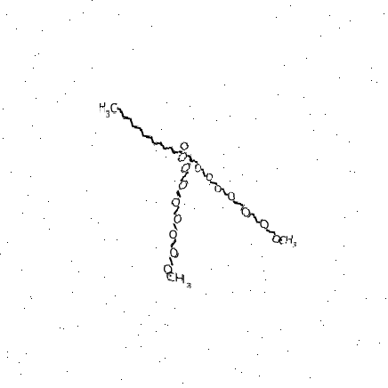 CCCCCCCCCCCCCC(=O)OCC(COCCOCCOCCOCCOCCOCCOC)OCCOCCOCCOCCOCCOCCOC